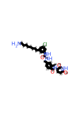 NCCCCCCCCc1cc(Cl)cc(NC(=O)NCc2ccc3c(c2)CN(C2CCC(=O)NC2=O)C3=O)c1